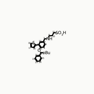 CCCCC(Oc1ccc(CNCCCS(=O)(=O)O)cc1-c1cccs1)c1ccccc1